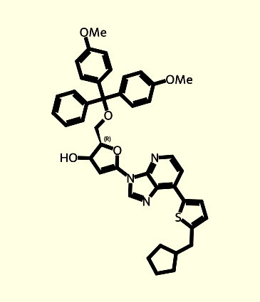 COc1ccc(C(OC[C@H]2OC(n3cnc4c(-c5ccc(CC6CCCC6)s5)ccnc43)=CC2O)(c2ccccc2)c2ccc(OC)cc2)cc1